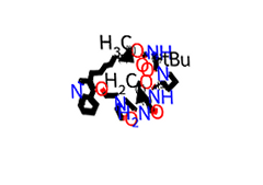 C=C[C@@H]1C[C@]1(NC(=O)[C@@H]1CCCN1C(=O)[C@@H](NC(=O)O[C@]1(C)C[C@H]1CCCCCc1cnc2ccccc2c1OCCN1CCOCC1)C(C)(C)C)C(N)=O